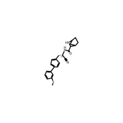 CSc1cccc(-c2ccc(C[C@@H](C#N)NC(=O)C3NC4CCC3C4)cc2)c1